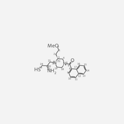 COCC[C@H]1CN(C(=O)c2cccc3ccccc23)CCN1C[C@@H](N)CS